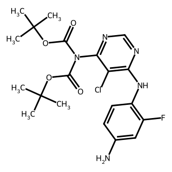 CC(C)(C)OC(=O)N(C(=O)OC(C)(C)C)c1ncnc(Nc2ccc(N)cc2F)c1Cl